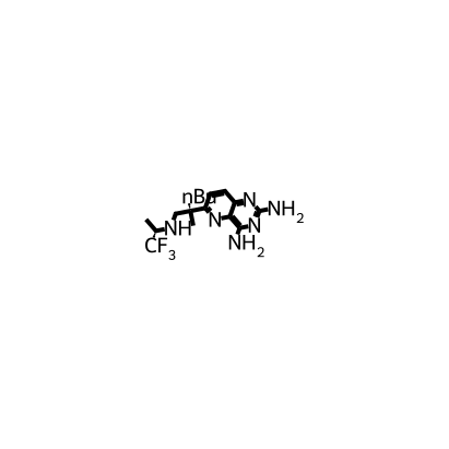 CCCC[C@](C)(CN[C@@H](C)C(F)(F)F)c1ccc2nc(N)nc(N)c2n1